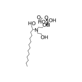 C1CO1.CCCCCCCCCCCCC(CO)N(CCO)CCO.O=S(=O)(O)O